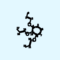 CC=COc1cccc(OC=CC)c1OC=CC